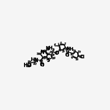 Cc1ccc(NC(=O)c2ccc(Cl)cc2)cc1OCc1csc2c(C(=O)NCCO)cnc(N)c12